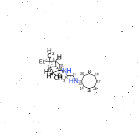 CCC1(C)[C@H]2C[C@@H]1[C@@H](C)[C@H](NCCNC1CCCCCCC1)C2